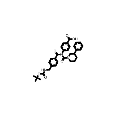 CC(C)(C)OC(=O)NCc1ccc(C(=O)N(C(=O)N2CCCC(c3ccccc3)C2)c2ccc(C(=O)O)cc2)cc1